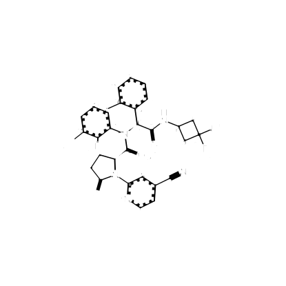 N#Cc1ccnc(N2C(=O)CC[C@H]2C(=O)N(c2cccc(F)c2F)[C@H](C(=O)NC2CC(F)(F)C2)c2ccccc2I)c1